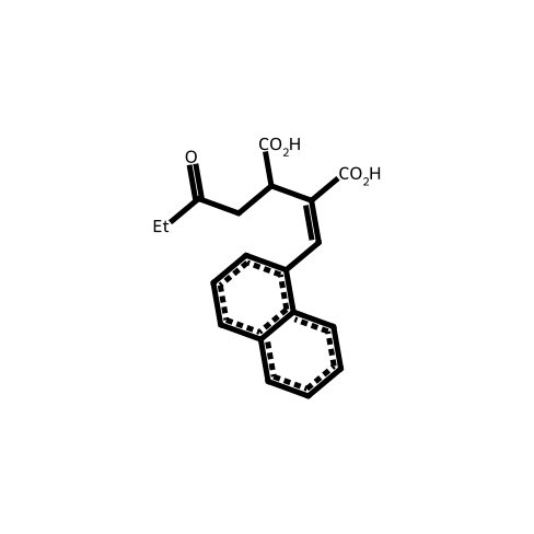 CCC(=O)CC(C(=O)O)C(=Cc1cccc2ccccc12)C(=O)O